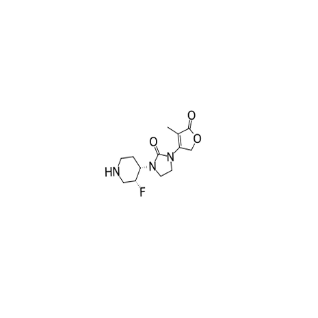 CC1=C(N2CCN([C@H]3CCNC[C@H]3F)C2=O)COC1=O